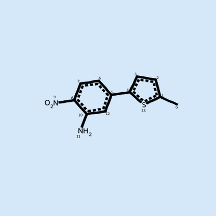 Cc1ccc(-c2ccc([N+](=O)[O-])c(N)c2)s1